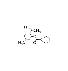 CC1CCC(C(C)C)C(OC(=O)C2C3CCCCC32)C1